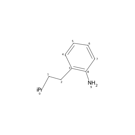 CC(C)CCc1[c]cccc1N